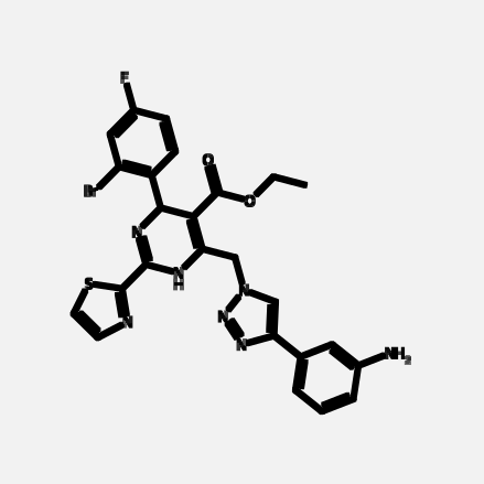 CCOC(=O)C1=C(Cn2cc(-c3cccc(N)c3)nn2)NC(c2nccs2)=NC1c1ccc(F)cc1Br